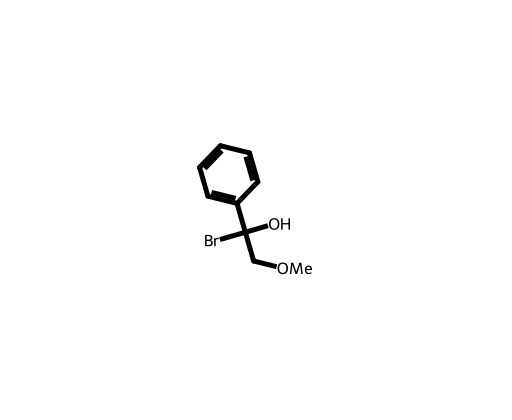 COCC(O)(Br)c1ccccc1